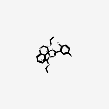 CCC[C@H]1COc2ccccc2[C@]12SC(c1cc(F)ccc1F)=NN2C(=O)OCC